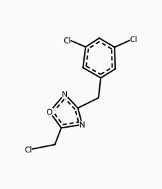 ClCc1nc(Cc2cc(Cl)cc(Cl)c2)no1